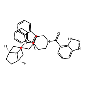 Cc1nc2ccccc2n1C1C[C@H]2CC[C@@H](C1)N2CCC1(c2ccccc2)CCN(C(=O)c2cccc3nn[nH]c23)CC1